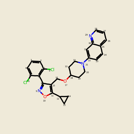 Clc1cccc(Cl)c1-c1noc(C2CC2)c1COC1CCN(c2ccc3cccnc3c2)CC1